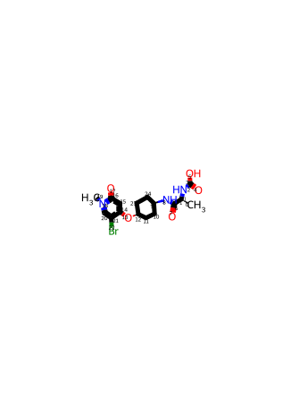 C[C@@H](NC(=O)O)C(=O)N[C@H]1CC[C@H](Oc2cc(=O)n(C)cc2Br)CC1